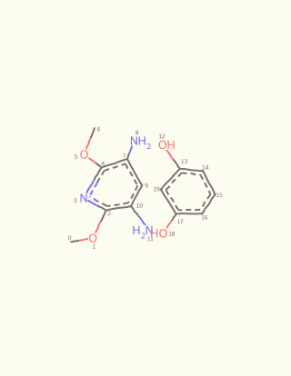 COc1nc(OC)c(N)cc1N.Oc1cccc(O)c1